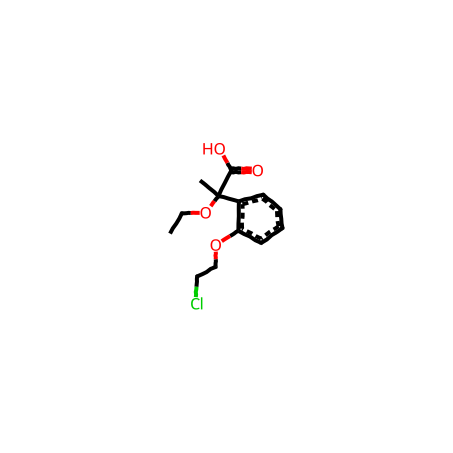 CCOC(C)(C(=O)O)c1ccccc1OCCCl